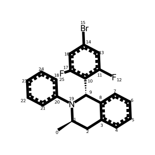 C[C@@H]1Cc2ccccc2[C@@H](c2c(F)cc(Br)cc2F)N1c1ccccc1